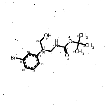 CC(C)(C)OC(=O)NC[C@H](CO)c1cccc(Br)c1